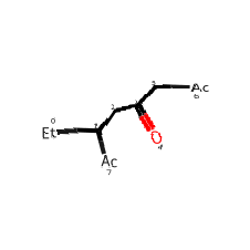 CCC(CC(=O)CC(C)=O)C(C)=O